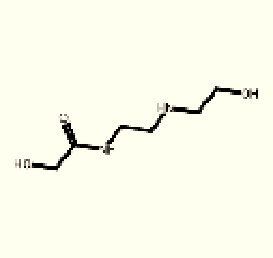 O=C(CO)NCCNCCO